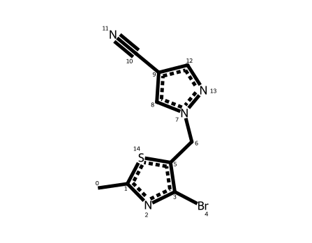 Cc1nc(Br)c(Cn2cc(C#N)cn2)s1